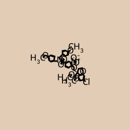 COc1ccc(CN(Cc2ccc(OC)cc2)S(=O)(=O)c2ccc(OC[C@@]3(C(OC)OC)CCOc4cc(Cl)ccc43)c([N+](=O)[O-])c2)cc1